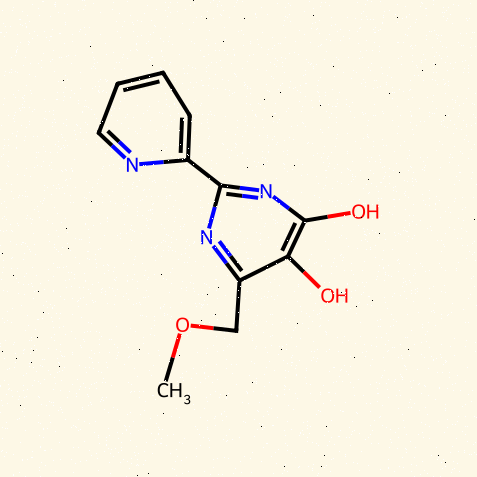 COCc1nc(-c2ccccn2)nc(O)c1O